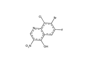 O=[N+]([O-])c1cnc2c(Cl)c(Br)c(F)cc2c1O